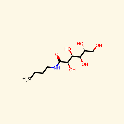 O=C(NCCC[SiH2])[C@H](O)[C@@H](O)[C@H](O)[C@H](O)CO